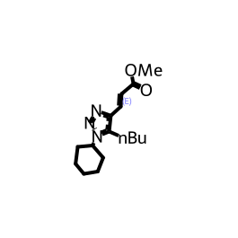 CCCCc1c(/C=C/C(=O)OC)nnn1C1CCCCC1